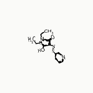 CCn1c(O)c(N=Nc2cccnc2)c(=O)n1CC